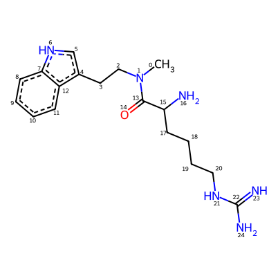 CN(CCc1c[nH]c2ccccc12)C(=O)C(N)CCCCNC(=N)N